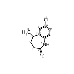 CC1CCC(=O)Nc2ccc(Cl)cc21